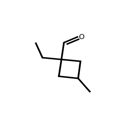 CCC1(C=O)CC(C)C1